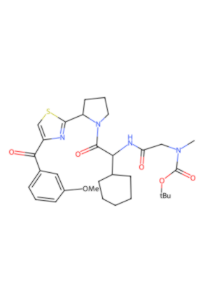 COc1cccc(C(=O)c2csc(C3CCCN3C(=O)C(NC(=O)CN(C)C(=O)OC(C)(C)C)C3CCCCC3)n2)c1